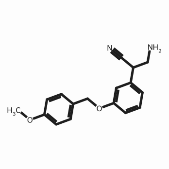 COc1ccc(COc2cccc(C(C#N)CN)c2)cc1